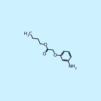 CCCCOC(=O)COc1cccc(N)c1